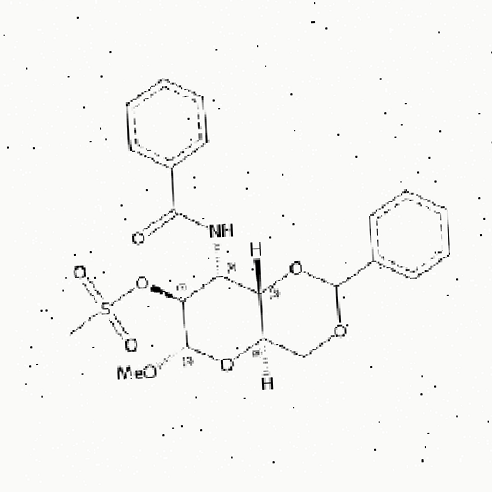 CO[C@H]1O[C@@H]2COC(c3ccccc3)O[C@H]2[C@@H](NC(=O)c2ccccc2)[C@@H]1OS(C)(=O)=O